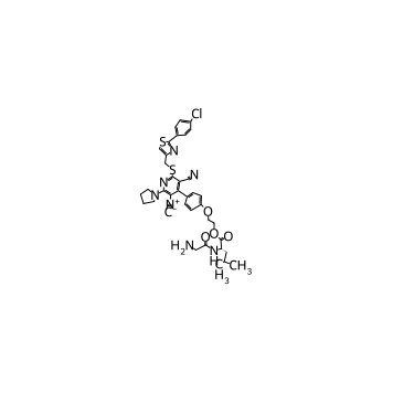 [C-]#[N+]c1c(N2CCCC2)nc(SCc2csc(-c3ccc(Cl)cc3)n2)c(C#N)c1-c1ccc(OCCOC(=O)[C@H](CC(C)C)NC(=O)CN)cc1